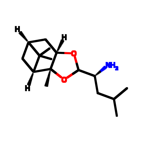 CC(C)C[C@@H](N)C1O[C@@H]2C[C@@H]3C[C@@H](C3(C)C)[C@]2(C)O1